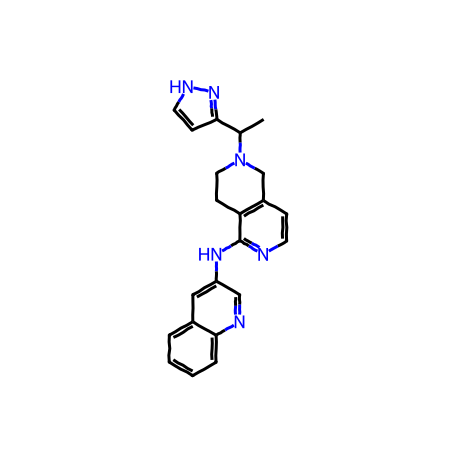 CC(c1cc[nH]n1)N1CCc2c(ccnc2Nc2cnc3ccccc3c2)C1